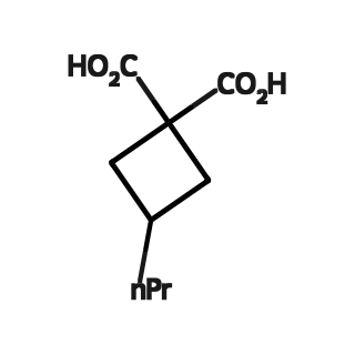 CCCC1CC(C(=O)O)(C(=O)O)C1